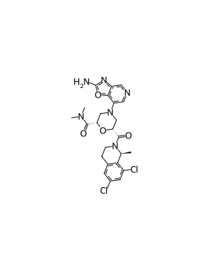 C[C@H]1c2c(Cl)cc(Cl)cc2CCN1C(=O)[C@H]1CN(c2cncc3nc(N)oc23)C[C@@H](C(=O)N(C)C)O1